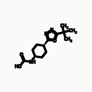 CC(C)(C)c1nnc([C@H]2CC[C@H](NC(=O)O)CC2)o1